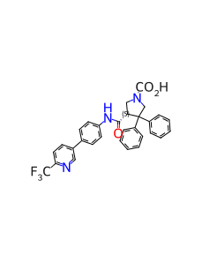 O=C(Nc1ccc(-c2ccc(C(F)(F)F)nc2)cc1)[C@@H]1CN(C(=O)O)CC1(c1ccccc1)c1ccccc1